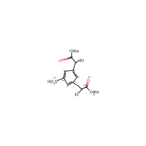 CCC(C(=O)OC)c1cc(C(CC)C(=O)OC)cc(S(=O)(=O)O)c1